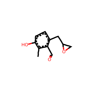 Cc1c(O)ccc(CC2CO2)c1C=O